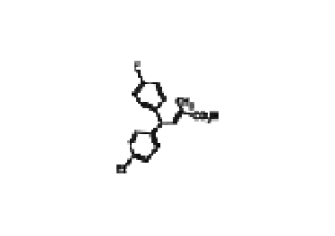 CCc1ccc(C(C=C(C)C(=O)O)c2ccc(F)cc2)cc1